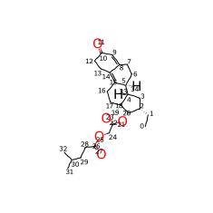 CC[C@H]1C[C@H]2[C@@H]3CCC4=CC(=O)CCC4=C3CC[C@]2(C)[C@H]1OC(=O)COC(=O)CCC(C)C